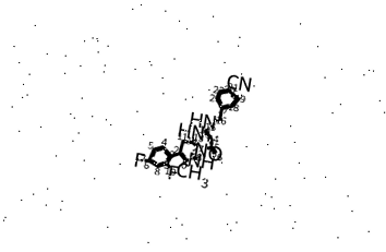 CC1=C(c2ccc(F)cc2F)CC2NC(NCc3ccc(C#N)cc3)=CC(=O)N2N1